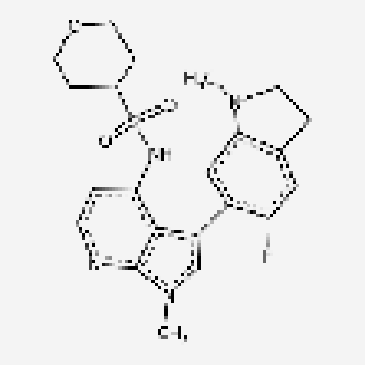 CN1CCc2cc(F)c(-c3cn(C)c4nccc(NS(=O)(=O)C5CCOCC5)c34)cc21